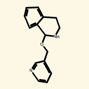 c1cncc(COC2NCCc3ccccc32)c1